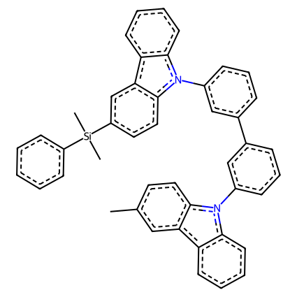 Cc1ccc2c(c1)c1ccccc1n2-c1cccc(-c2cccc(-n3c4ccccc4c4cc([Si](C)(C)c5ccccc5)ccc43)c2)c1